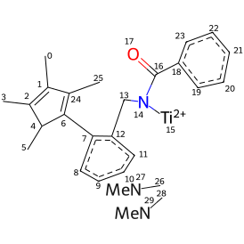 CC1=C(C)C(C)C(c2ccccc2C[N]([Ti+2])C(=O)c2ccccc2)=C1C.C[N-]C.C[N-]C